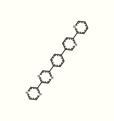 c1ccc(-c2ccc(-c3ccc(-c4cnc(-c5cnccn5)cn4)cc3)cn2)nc1